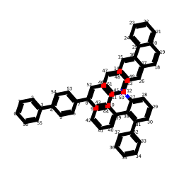 c1ccc(-c2ccc(-c3ccc(N(c4ccc5c(ccc6ccccc65)c4)c4cccc(-c5ccccc5)c4-c4ccccc4-c4ccccc4)cc3)cc2)cc1